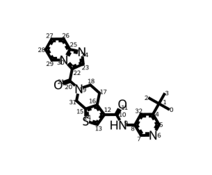 CC(C)(C)c1cncc(NC(=O)c2csc3c2CCN(C(=O)c2cnc4ccccn24)C3)c1